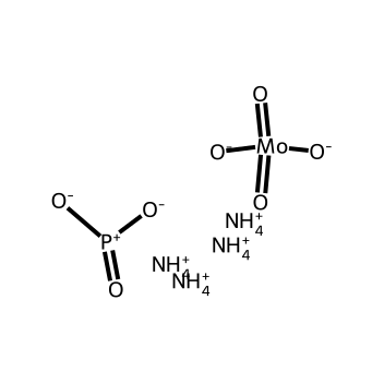 O=[P+]([O-])[O-].[NH4+].[NH4+].[NH4+].[NH4+].[O]=[Mo](=[O])([O-])[O-]